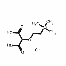 C[N+](C)(C)CCOC(C(=O)O)C(=O)O.[Cl-]